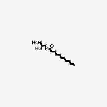 C=CCCCCCCCCC(=O)OCC(O)CO